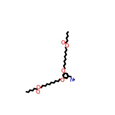 CCCCCC(=O)OCCCCCCCCCCOc1cc(CN(C)C)cc(OCCCCCCCCCCOC(=O)CCCCC)c1